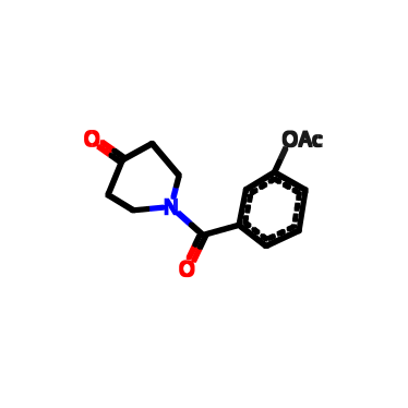 CC(=O)Oc1cccc(C(=O)N2CCC(=O)CC2)c1